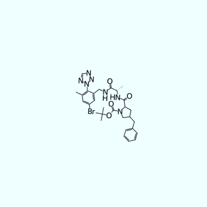 Cc1cc(Br)cc(CNC(=O)[C@H](C)NC(=O)C2CC(Cc3ccccc3)CN2C(=O)OC(C)(C)C)c1-n1ncnn1